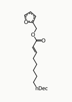 CCCCCCCCCCCCCCC/C=C/C(=O)OCc1ccco1